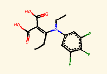 CCC(=C(C(=O)O)C(=O)O)N(CC)c1cc(F)c(F)c(F)c1